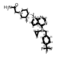 NC(=O)CN1CC[C@H](Cn2ccc3c(N(Cc4ccc(C(F)(F)F)cc4)C4CC4)ncnc32)[C@@H](F)C1